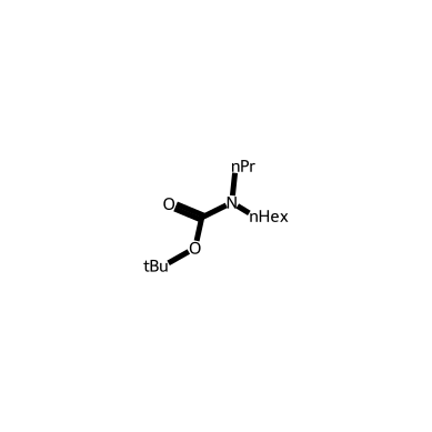 CCCCCCN(CCC)C(=O)OC(C)(C)C